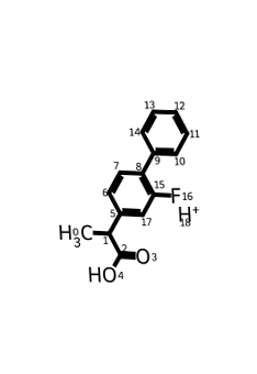 CC(C(=O)O)c1ccc(-c2ccccc2)c(F)c1.[H+]